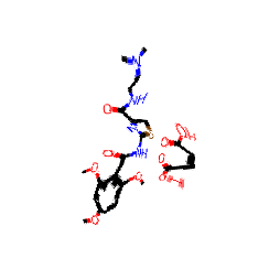 COc1cc(OC)c(C(=O)Nc2nc(C(=O)NCCN(C)C)cs2)c(OC)c1.O=C(O)/C=C\C(=O)O